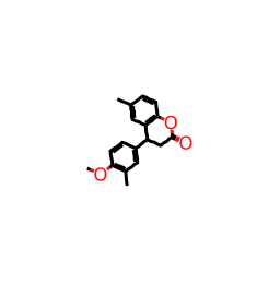 COc1ccc(C2CC(=O)Oc3ccc(C)cc32)cc1C